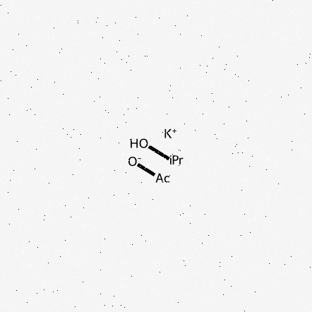 CC(=O)[O-].CC(C)O.[K+]